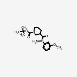 COc1cccc(N(N)C(=O)C2CCCN(C(=O)OC(C)(C)C)C2)c1